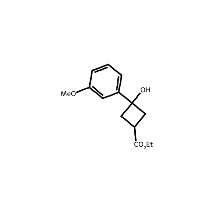 CCOC(=O)C1CC(O)(c2cccc(OC)c2)C1